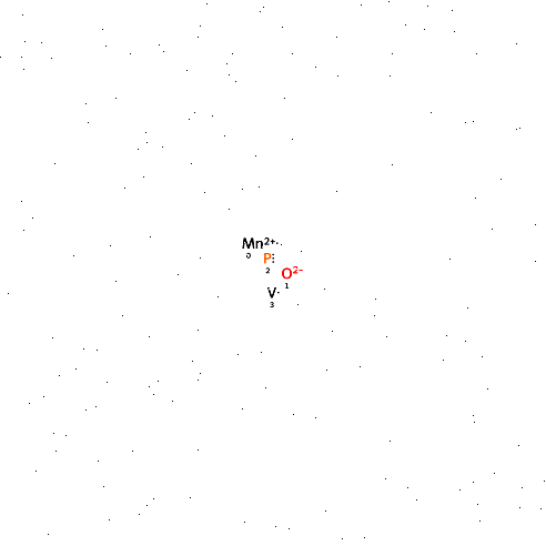 [Mn+2].[O-2].[P].[V]